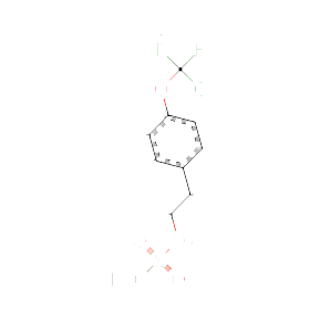 CS(=O)(=O)OCCc1ccc(OC(F)(F)Cl)cc1